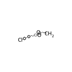 C=CCC[C@H]1CO[C@H](C2CCC(CCc3ccc(-c4ccc(Cl)cc4)cc3)CC2)OC1